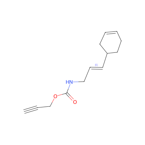 C#CCOC(=O)NC/C=C/C1CC=CCC1